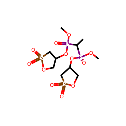 COP(=O)(OC1COS(=O)(=O)C1)C(C)P(=O)(OC)OC1COS(=O)(=O)C1